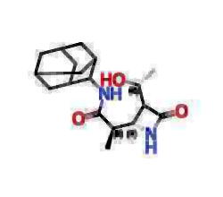 C[C@@H](O)C1C(=O)N[C@@H]1[C@@H](C)C(=O)NC1C2CC3CC(C2)CC1C3